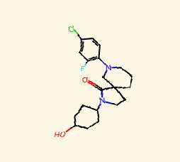 O=C1N(C2CCC(O)CC2)CCC12CCCN(c1ccc(Cl)cc1F)C2